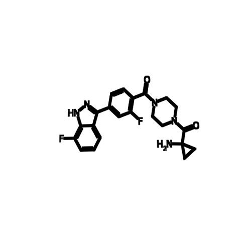 NC1(C(=O)N2CCN(C(=O)c3ccc(-c4n[nH]c5c(F)cccc45)cc3F)CC2)CC1